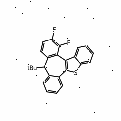 CC(C)(C)C1c2ccccc2-c2sc3ccccc3c2-c2c1ccc(F)c2F